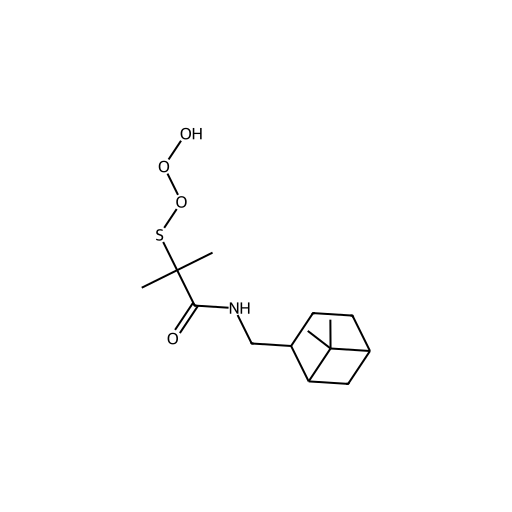 CC(C)(SOOO)C(=O)NCC1CCC2CC1C2(C)C